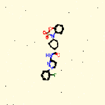 O=C(Nc1ccn(-c2ccccc2F)n1)[C@H]1CC[C@@H](N2c3ccccc3OS2(=O)=O)CC1